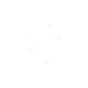 COc1cc(CBr)c(-c2c(CBr)cc(OC)c3c2ONO3)c2c1ONO2